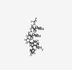 C/C=C(\C)CCN(CCCN(CC1CCC(n2cc(-c3ccn(C)n3)c3c(N)ncnc32)C1)C(=O)OC(C)(C)C)C(=O)OC(C)(C)C